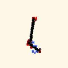 N[C@@H](CCCCNC(=O)CC[C@H](NC(=O)CCCCCCCCCCCCCCCCCCC(=O)O)C(=O)O)C(=O)I